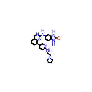 O=c1[nH]c2ccc(Nc3ncc4cccc(-c5ccc(NCCN6CCCC6)nc5)c4n3)cc2[nH]1